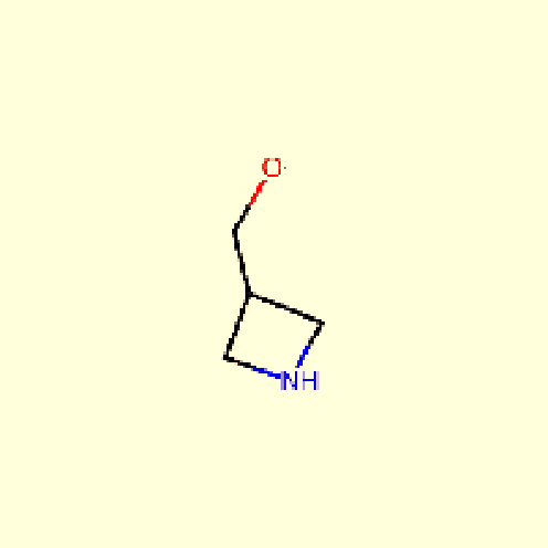 [O]CC1CNC1